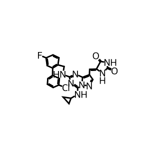 O=C1NC(=O)C(=Cc2cnn3c(NC4CC4)nc(NCc4ccc(F)cc4-c4cccc(Cl)c4)nc23)N1